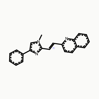 Cn1cc(-c2ccccc2)nc1/C=C/c1ccc2ccccc2n1